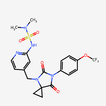 CN(C)S(=O)(=O)Nc1cc(CN2C(=O)N(c3ccc(OC(F)(F)F)cc3)C(=O)C23CC3)ccn1